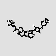 [2H]C([2H])(/C=C/C(=O)N1CCN2C[C@H]1COc1cc3ncnc(Nc4cc(C)c(Oc5ccn6ncnc6c5)cc4F)c3nc12)NC